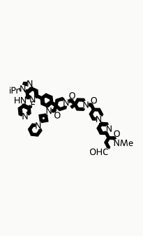 CNC(=O)C(CCC=O)c1ccc(N2CCC(C(=O)N3CCC(C)(C(=O)N4CCC5(CC4)C(=O)N(C4CC(N6CCCCC6)C4)c4cc(-c6cc7ncn(C(C)C)c7c(Nc7ccncc7F)n6)ccc45)CC3)CC2)cn1